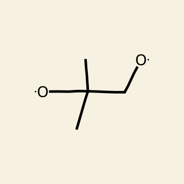 CC(C)([O])C[O]